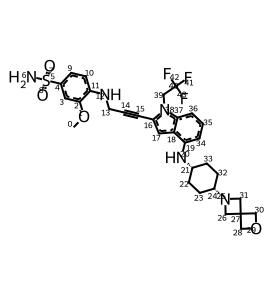 COc1cc(S(N)(=O)=O)ccc1NCC#Cc1cc2c(N[C@H]3CC[C@@H](N4CC5(COC5)C4)CC3)cccc2n1CC(F)(F)F